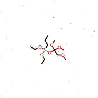 CCC[Si](OCC)(OCC)OC(COC)(OC)OC